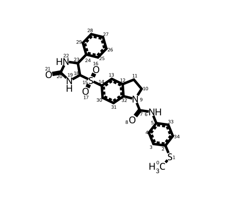 CSc1ccc(NC(=O)N2CCc3cc(S(=O)(=O)C4NC(=O)NC4c4ccccc4)ccc32)cc1